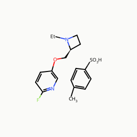 CCN1CC[C@H]1COc1ccc(F)nc1.Cc1ccc(S(=O)(=O)O)cc1